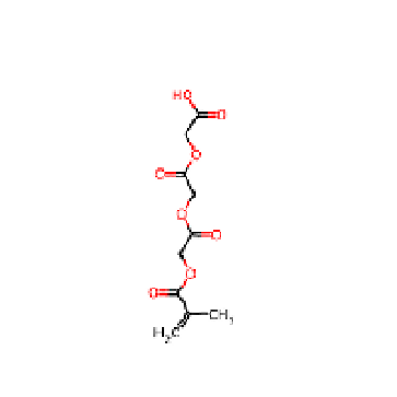 C=C(C)C(=O)OCC(=O)OCC(=O)OCC(=O)O